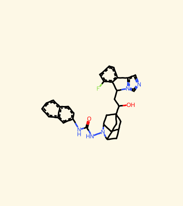 O=C(Nc1ccc2ccccc2c1)NN1C2CC3CC1CC(C(O)CC1c4c(F)cccc4-c4cncn41)(C3)C2